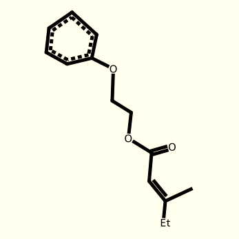 CCC(C)=CC(=O)OCCOc1ccccc1